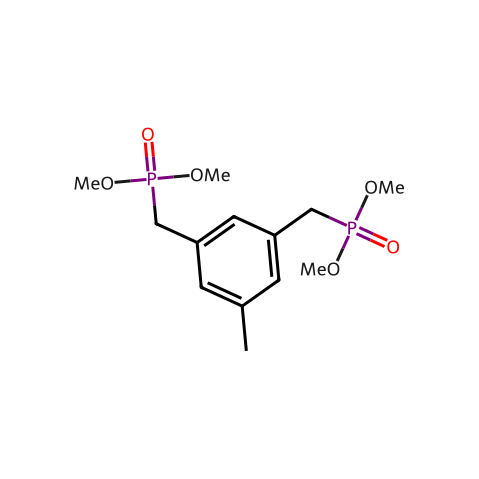 COP(=O)(Cc1cc(C)cc(CP(=O)(OC)OC)c1)OC